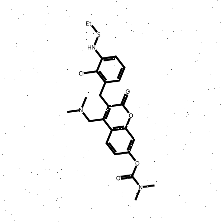 CCSNc1cccc(Cc2c(CN(C)C)c3ccc(OC(=O)N(C)C)cc3oc2=O)c1Cl